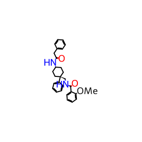 COc1ccccc1C(=O)NC[C@]1(c2ccccc2)CC[C@@H](NC(=O)Cc2ccccc2)CC1